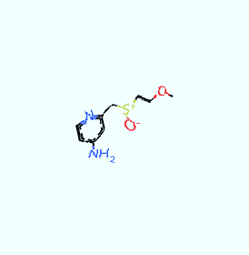 COCC[S+]([O-])Cc1cc(N)ccn1